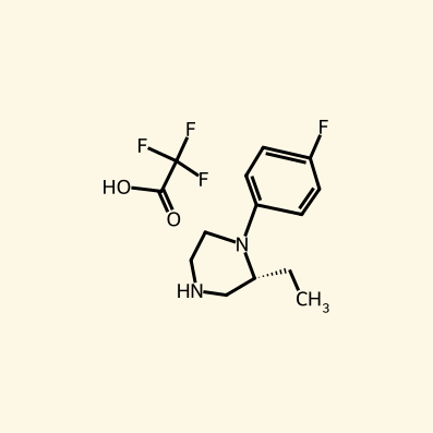 CC[C@@H]1CNCCN1c1ccc(F)cc1.O=C(O)C(F)(F)F